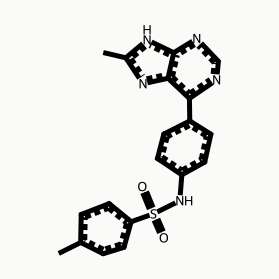 Cc1ccc(S(=O)(=O)Nc2ccc(-c3ncnc4[nH]c(C)nc34)cc2)cc1